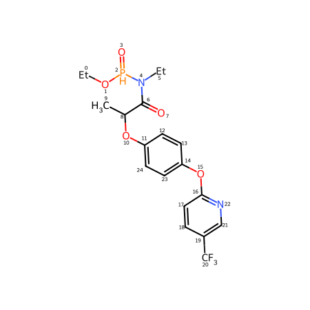 CCO[PH](=O)N(CC)C(=O)C(C)Oc1ccc(Oc2ccc(C(F)(F)F)cn2)cc1